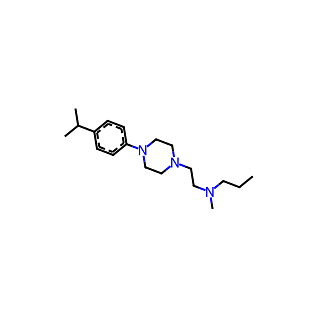 CCCN(C)CCN1CCN(c2ccc(C(C)C)cc2)CC1